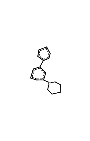 [c]1ccc(-c2cccc(N3CCCCC3)c2)cc1